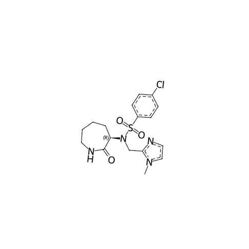 Cn1ccnc1CN([C@@H]1CCCCNC1=O)S(=O)(=O)c1ccc(Cl)cc1